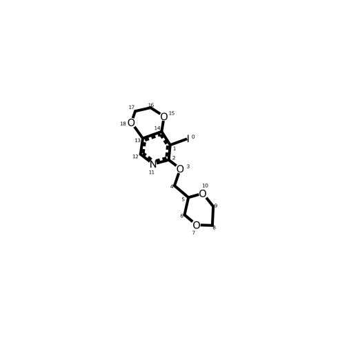 Ic1c(OCC2COCCO2)ncc2c1OCCO2